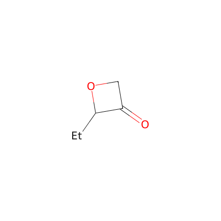 CCC1OCC1=O